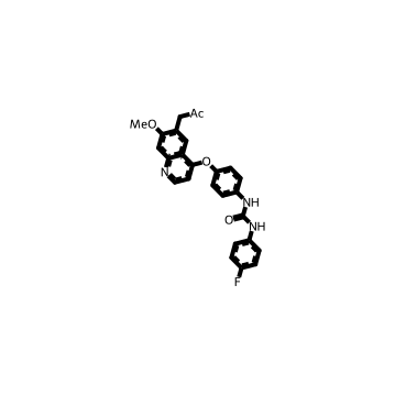 COc1cc2nccc(Oc3ccc(NC(=O)Nc4ccc(F)cc4)cc3)c2cc1CC(C)=O